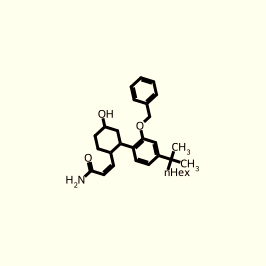 CCCCCCC(C)(C)c1ccc(C2CC(O)CCC2/C=C\C(N)=O)c(OCc2ccccc2)c1